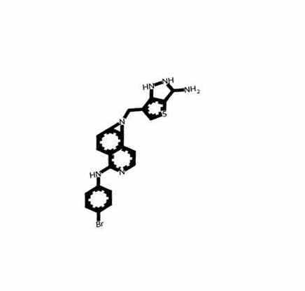 NC1NNc2c(CN3c4ccc5c(Nc6ccc(Br)cc6)nccc5c43)csc21